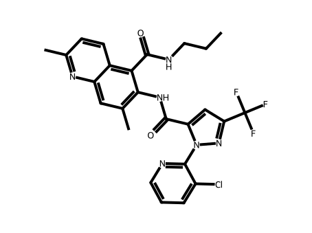 CCCNC(=O)c1c(NC(=O)c2cc(C(F)(F)F)nn2-c2ncccc2Cl)c(C)cc2nc(C)ccc12